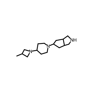 CC1CN(C2CCN(C3CC4CNCC4C3)CC2)C1